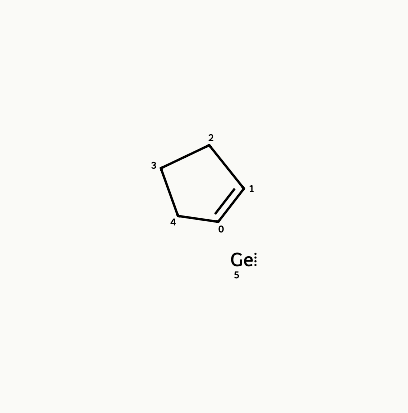 C1=CCCC1.[Ge]